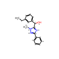 CCc1cccc(C(O)c2nc(-c3ccccc3)nn2C)c1